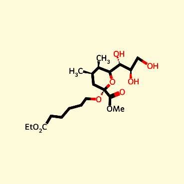 CCOC(=O)CCCCCO[C@]1(C(=O)OC)C[C@@H](C)[C@@H](C)C([C@H](O)[C@H](O)CO)O1